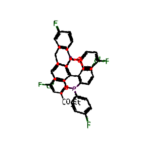 CCOC(=O)COc1c(Cl)ccc(P(c2ccc(F)cc2)c2ccc(F)cc2)c1-c1c(P(c2ccc(F)cc2)c2ccc(F)cc2)ccc(Cl)c1OC1CCCCC1